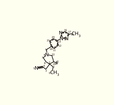 CCC1(CC#N)CCN(Cc2ccc(-n3ncc(C)n3)cc2)CC1F